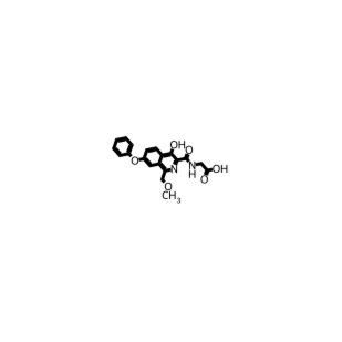 COCc1nc(C(=O)NCC(=O)O)c(O)c2ccc(Oc3ccccc3)cc12